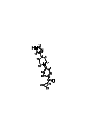 O=C(c1ccc(N2CCC(c3c[nH]cn3)CC2)cc1)C1CC1